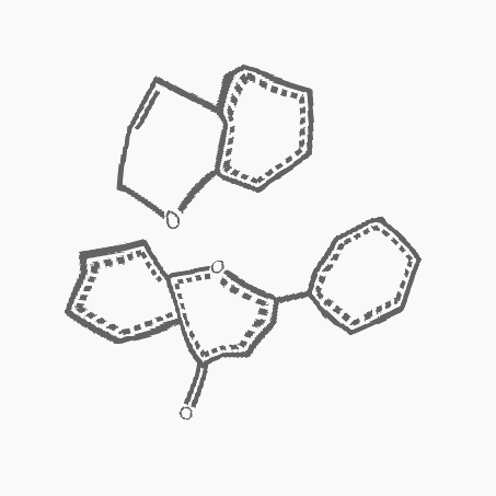 C1=Cc2ccccc2OC1.O=c1cc(-c2ccccc2)oc2ccccc12